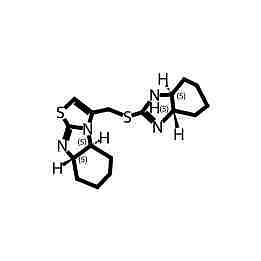 C1=C(CSC2=N[C@H]3CCCC[C@@H]3N2)N2C(=N[C@H]3CCCC[C@@H]32)S1